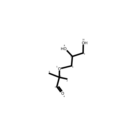 CC(C)(C=O)OCC(O)CO